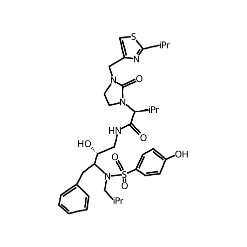 CC(C)CN(C(Cc1ccccc1)[C@H](O)CNC(=O)[C@H](C(C)C)N1CCN(Cc2csc(C(C)C)n2)C1=O)S(=O)(=O)c1ccc(O)cc1